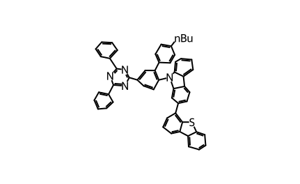 CCCCc1ccc(-c2cc(-c3nc(-c4ccccc4)nc(-c4ccccc4)n3)ccc2-n2c3ccccc3c3ccc(-c4cccc5c4sc4ccccc45)cc32)cc1